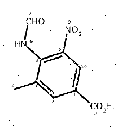 CCOC(=O)c1cc(C)c(NC=O)c([N+](=O)[O-])c1